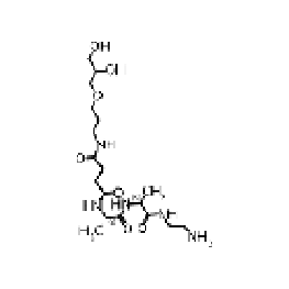 C[C@H](NC(=O)CCC(=O)NCCCOCC(O)CO)C(=O)N[C@@H](C)C(=O)NCCN